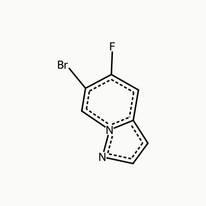 Fc1cc2ccnn2cc1Br